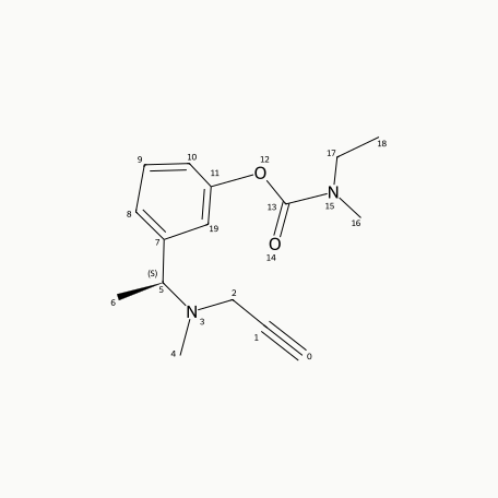 C#CCN(C)[C@@H](C)c1cccc(OC(=O)N(C)CC)c1